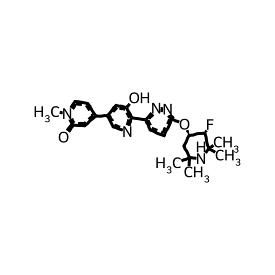 Cn1ccc(-c2cnc(-c3ccc(O[C@@H]4CC(C)(C)NC(C)(C)[C@@H]4F)nn3)c(O)c2)cc1=O